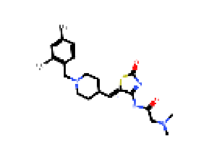 CN(C)CC(=O)NC1=NC(=O)S/C1=C\C1CCN(Cc2ccc(C(F)(F)F)cc2C(F)(F)F)CC1